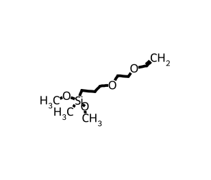 C=COCCOCCC[Si](C)(OC)OC